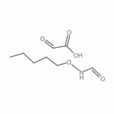 CCCCCONC=O.O=CC(=O)O